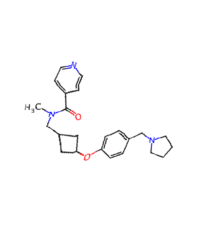 CN(CC1CC(Oc2ccc(CN3CCCC3)cc2)C1)C(=O)c1ccncc1